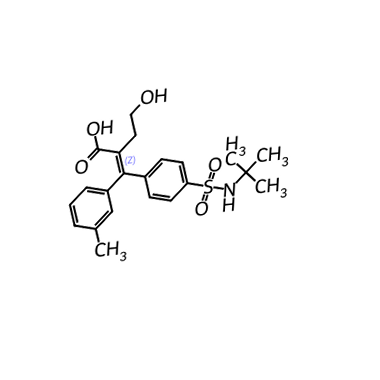 Cc1cccc(/C(=C(/CCO)C(=O)O)c2ccc(S(=O)(=O)NC(C)(C)C)cc2)c1